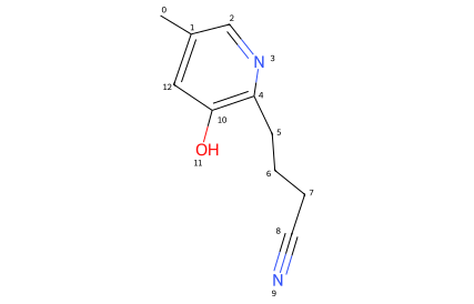 Cc1cnc(CCCC#N)c(O)c1